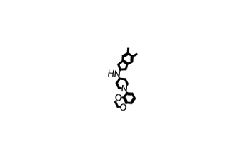 Cc1cc2c(cc1C)CC(NC1CCN(c3cccc4c3OCCO4)CC1)C2